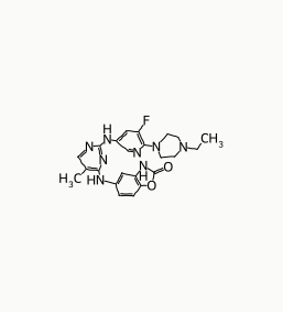 CCN1CCN(c2ncc(Nc3ncc(C)c(Nc4ccc5oc(=O)[nH]c5c4)n3)cc2F)CC1